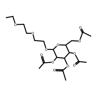 CCOCCOCCOC1OC(COC(C)=O)C(OC(C)=O)C(OC(C)=O)C1OC(C)=O